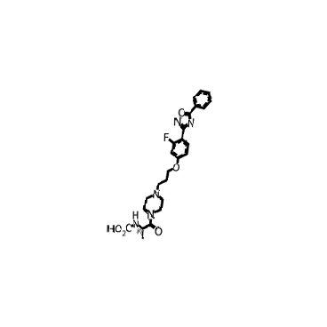 C[C@@H](NC(=O)O)C(=O)N1CCN(CCCOc2ccc(-c3noc(-c4ccccc4)n3)c(F)c2)CC1